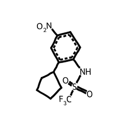 O=[N+]([O-])c1ccc(NS(=O)(=O)C(F)(F)F)c(C2CCCC2)c1